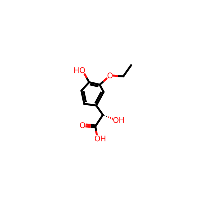 CCOc1cc([C@H](O)C(=O)O)ccc1O